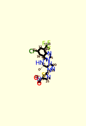 C[C@H](Nc1ncnc2c(C(F)(F)F)cc(Cl)cc12)c1ncnn1-c1ncc([N+](=O)[O-])s1